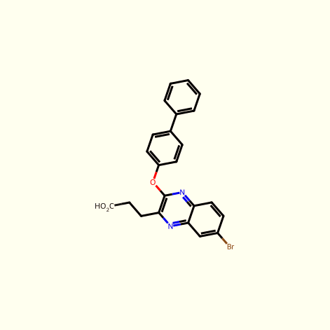 O=C(O)CCc1nc2cc(Br)ccc2nc1Oc1ccc(-c2ccccc2)cc1